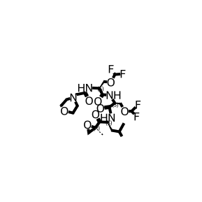 CC(C)C[C@H](NC(=O)[C@H](COC(F)F)NC(=O)[C@H](COC(F)F)NC(=O)CN1CCOCC1)C(=O)[C@@]1(C)CO1